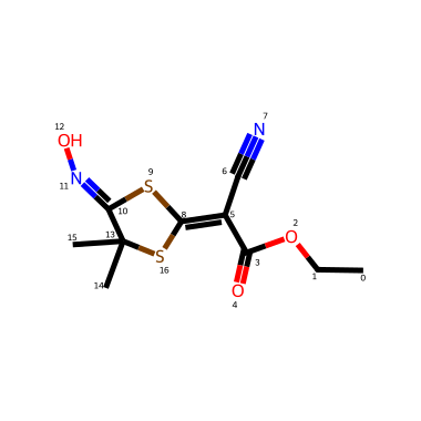 CCOC(=O)/C(C#N)=C1/S/C(=N\O)C(C)(C)S1